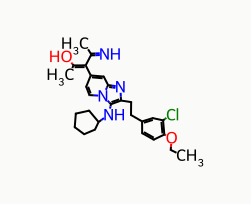 CCOc1ccc(CCc2nc3cc(/C(C(C)=N)=C(\C)O)ccn3c2NC2CCCCC2)cc1Cl